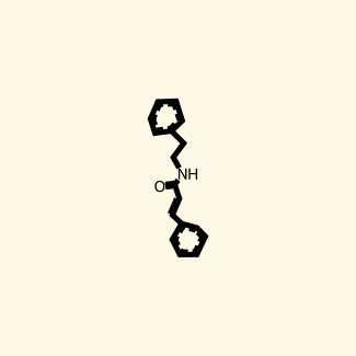 O=C(/C=C/c1ccccc1)NCCc1ccccc1